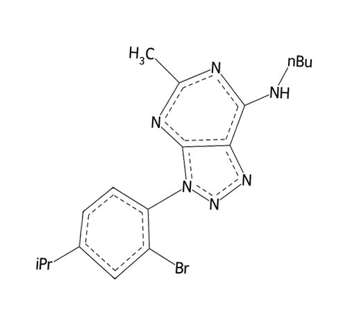 CCCCNc1nc(C)nc2c1nnn2-c1ccc(C(C)C)cc1Br